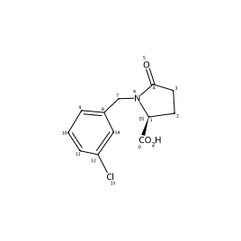 O=C(O)[C@@H]1CCC(=O)N1Cc1cccc(Cl)c1